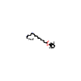 CCCCC/C=C\C/C=C\CCCCCCCC(=O)O[C@H]1C[C@H]2CC[C@@]1(C)C2(C)C